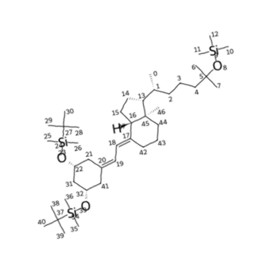 C[C@H](CCCC(C)(C)O[Si](C)(C)C)[C@H]1CC[C@H]2/C(=C/C=C3\C[C@@H](O[Si](C)(C)C(C)(C)C)C[C@@H](O[Si](C)(C)C(C)(C)C)C3)CCC[C@]12C